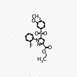 CCOC(=O)c1cc(S(=O)(=O)c2cccc(OC)c2)n(-c2ccccc2F)n1